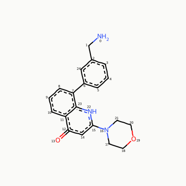 NCc1cccc(-c2cccc3c(=O)cc(N4CCOCC4)[nH]c23)c1